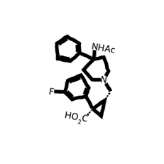 CC(=O)NC1(c2ccccc2)CCN(C[C@@H]2C[C@@]2(C(=O)O)c2cccc(F)c2)CC1